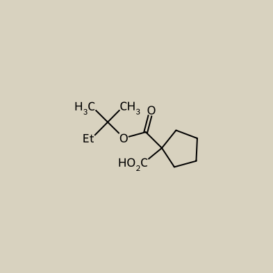 CCC(C)(C)OC(=O)C1(C(=O)O)CCCC1